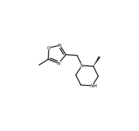 Cc1nc(CN2CCNC[C@@H]2C)no1